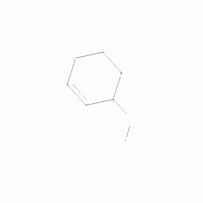 CCO[C]1C=CCCC1